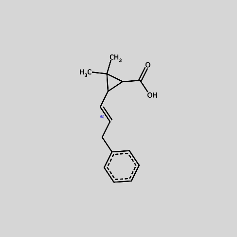 CC1(C)C(/C=C/Cc2ccccc2)C1C(=O)O